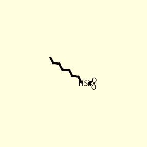 CCCCCCCC[SiH]1OO1